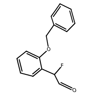 O=CC(F)c1ccccc1OCc1ccccc1